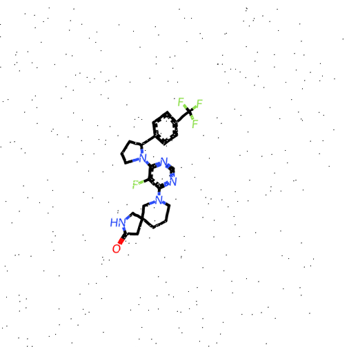 O=C1CC2(CCCN(c3ncnc(N4CCCC4c4ccc(C(F)(F)F)cc4)c3F)C2)CN1